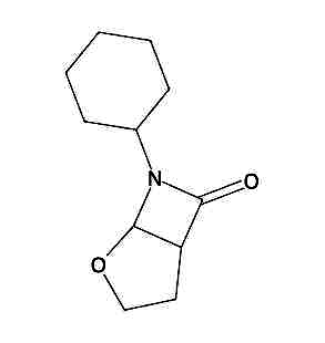 O=C1C2CCOC2N1C1CCCCC1